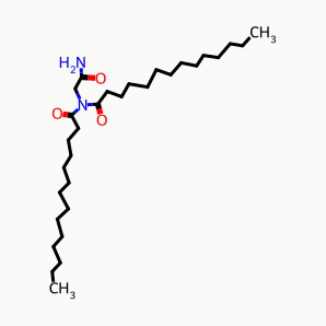 CCCCCCCCCCCCCC(=O)N(CC(N)=O)C(=O)CCCCCCCCCCCCC